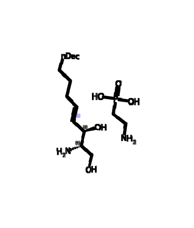 CCCCCCCCCCCCC/C=C/[C@@H](O)[C@@H](N)CO.NCCP(=O)(O)O